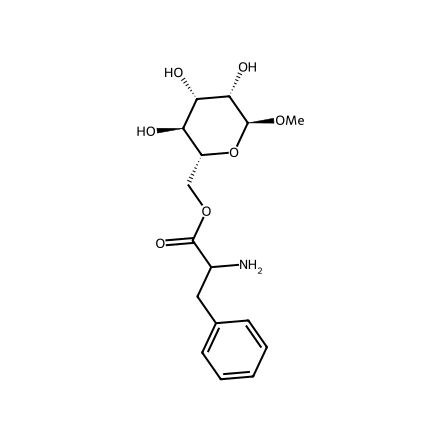 CO[C@H]1O[C@H](COC(=O)C(N)Cc2ccccc2)[C@@H](O)[C@H](O)[C@@H]1O